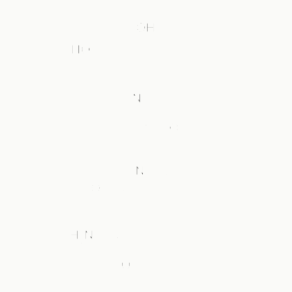 NC(=O)C1Cc2ccccc2N(CC(=O)N2CC(O)C(O)C2)C1=O